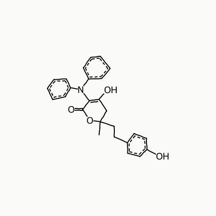 CC1(CCc2ccc(O)cc2)CC(O)=C(N(c2ccccc2)c2ccccc2)C(=O)O1